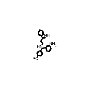 COc1ccc(C(NCCc2c[nH]c3ccccc23)c2cccc(N)c2)cc1